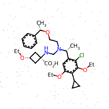 CCOc1cc([C@@H](C)N(CCO[C@@H](C)c2ccccc2)CN[C@]2(C(=O)O)C[C@@H](OCC)C2)c(Cl)c(OCC)c1C1CC1